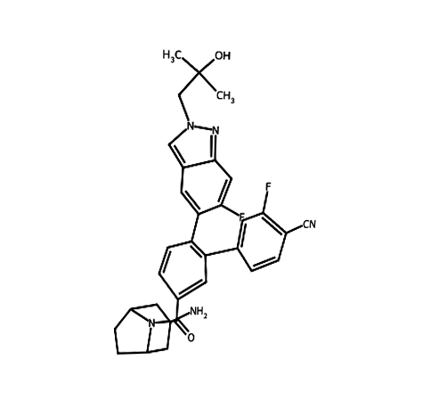 CC(C)(O)Cn1cc2cc(-c3ccc(C(=O)N4C5CCC4CC(N)C5)cc3-c3ccc(C#N)c(F)c3)c(F)cc2n1